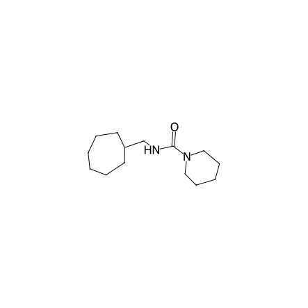 O=C(NCC1CCCCCC1)N1CCCCC1